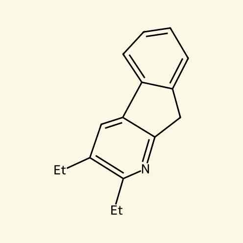 CCc1cc2c(nc1CC)Cc1ccccc1-2